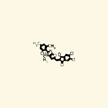 Cc1cc(C)c(-c2nc3oc(C=C4C(=O)c5cc(Cl)c(Cl)cc5C4=O)cc3n2C)c(C)c1